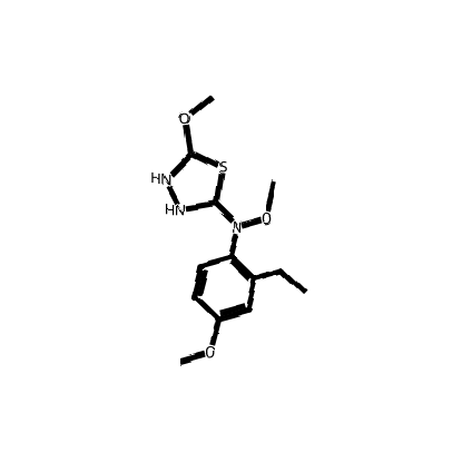 CCc1cc(OC)ccc1N(OC)C1NNC(OC)S1